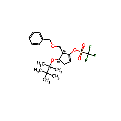 CC(C)(C)[Si](C)(C)O[C@H]1CC=C(OS(=O)(=O)C(F)(F)F)[C@@H]1COCc1ccccc1